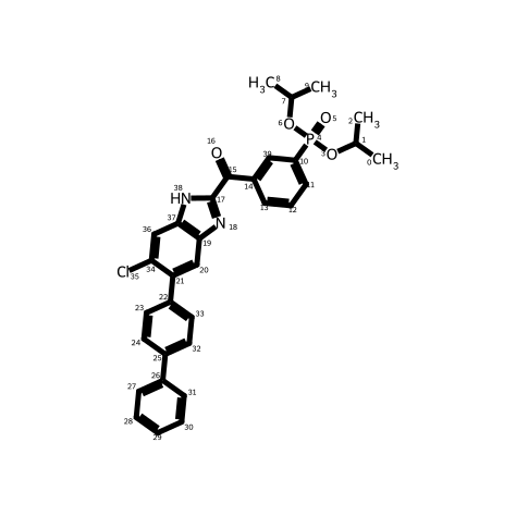 CC(C)OP(=O)(OC(C)C)c1cccc(C(=O)c2nc3cc(-c4ccc(-c5ccccc5)cc4)c(Cl)cc3[nH]2)c1